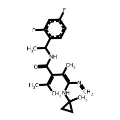 C=N/C(NC1(C)CC1)=C(\C)C(C(=O)NC(C)c1ccc(F)cc1F)=C(C)C